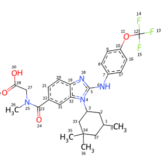 CC1CC(n2c(Nc3ccc(OC(F)(F)F)cc3)nc3ccc(C(=O)N(C)CC(=O)O)cc32)CC(C)(C)C1